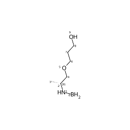 BN[C@H](C)COCCCO